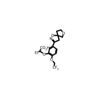 CCC(Oc1cc(C2=NOC3(CCOC3)C2)ccc1OCC(F)(F)F)C(=O)O